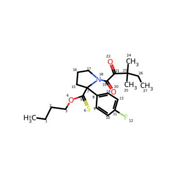 CCCCOC(=S)C1(c2ccc(F)cc2)CCCN1C(=O)C(=O)C(C)(C)CC